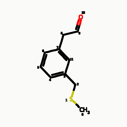 CSCc1cccc(CC=O)c1